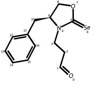 O=CCCN1C(=[Se])OC[C@@H]1Cc1ccccc1